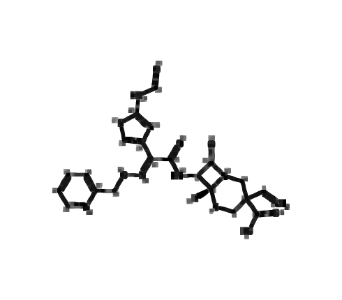 C=CC1(C(=O)O)CS[C@@H]2C(NC(=O)C(=NOCc3ccccn3)c3csc(NC=O)n3)C(=O)N2C1